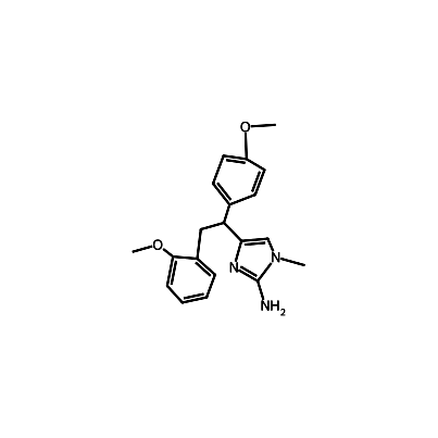 COc1ccc(C(Cc2ccccc2OC)c2cn(C)c(N)n2)cc1